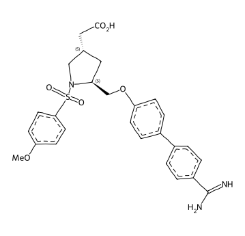 COc1ccc(S(=O)(=O)N2C[C@H](CC(=O)O)C[C@H]2COc2ccc(-c3ccc(C(=N)N)cc3)cc2)cc1